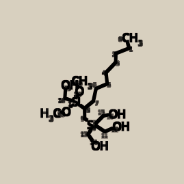 CCCCCCCCC(C[Si](CO)(CO)CO)[Si](CO)(OC)OC